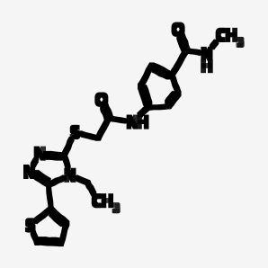 CCn1c(SCC(=O)Nc2ccc(C(=O)NC)cc2)nnc1-c1cccs1